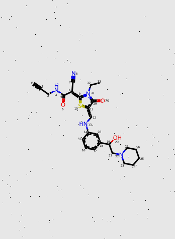 C#CCNC(=O)C(C#N)=c1sc(=CNc2cccc(C(O)CN3CCCCC3)c2)c(=O)n1CC